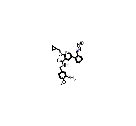 COc1ccc(CNC(=O)c2cc(-c3ccccc3/C=N/N=O)cnc2OCC2CC2)cc1P